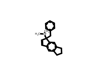 [CH3][Hf]([CH3])[C]1(Cc2ccccc2)C=Cc2cc3c(cc21)CCC3